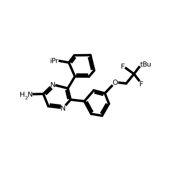 CC(C)c1ccccc1-c1nc(N)cnc1-c1cccc(OCC(F)(F)C(C)(C)C)c1